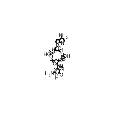 Nc1nc2c(nnn2[C@@H]2O[C@@H]3COP(O)(=S)O[C@H]4C[C@H](n5ccc6c(N)ccnc65)O[C@@H]4COP(O)(=S)O[C@@H]2C3)c(=O)[nH]1